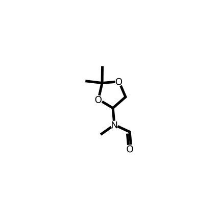 CN(C=O)C1COC(C)(C)O1